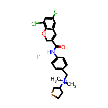 C[N+](C)(Cc1ccc(NC(=O)C2=Cc3cc(Cl)cc(Cl)c3OC2)cc1)C1CCSC1.[I-]